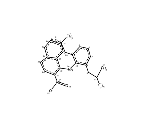 CC(C)Cc1cccc(CC(C)C)c1Nc1c([N+](=O)[O-])ccc2ccccc12